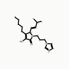 CCCCCC1=C(O)C(=O)N(CCCn2ccnc2)C1C=CC(C)C